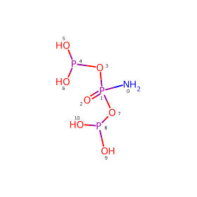 NP(=O)(OP(O)O)OP(O)O